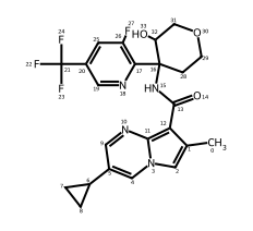 Cc1cn2cc(C3CC3)cnc2c1C(=O)NC1(c2ncc(C(F)(F)F)cc2F)CCOCC1O